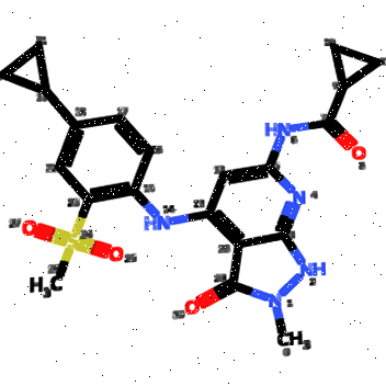 Cn1[nH]c2nc(NC(=O)C3CC3)cc(Nc3ccc(C4CC4)cc3S(C)(=O)=O)c2c1=O